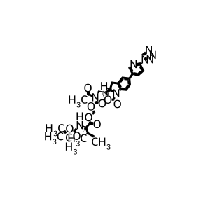 CCC(C)[C@@H](NC(=O)OC(C)(C)C)C(=O)OCOC(=O)N(C[C@@H]1OC(=O)N2c3ccc(-c4ccc(-n5cnnn5)nc4)cc3C[C@@H]12)C(C)=O